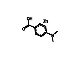 CN(C)c1ccc(C(=O)O)cc1.[Zn]